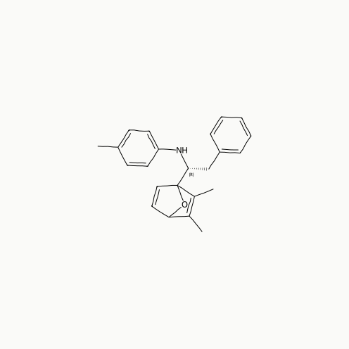 CC1=C(C)C2([C@@H](Cc3ccccc3)Nc3ccc(C)cc3)C=CC1O2